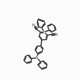 N#CC1=CC(c2ccc(N(c3ccccc3)c3ccccc3)cc2)=CC(C#N)=P1(c1ccccc1)c1ccccc1